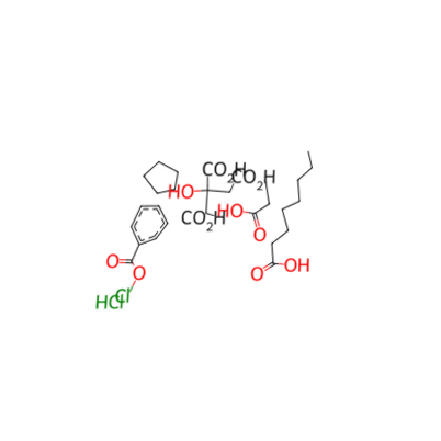 C1CCCC1.CCC(=O)O.CCCCCCCC(=O)O.Cl.O=C(O)CC(O)(CC(=O)O)C(=O)O.O=C(OCl)c1ccccc1